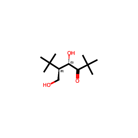 CC(C)(C)C(=O)[C@@H](O)[C@@H](CO)C(C)(C)C